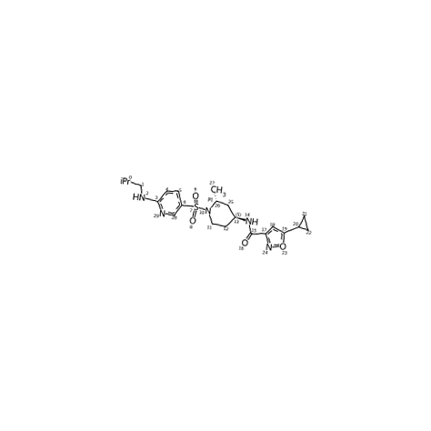 CC(C)CNc1ccc(S(=O)(=O)N2CC[C@H](NC(=O)c3cc(C4CC4)on3)C[C@H]2C)cn1